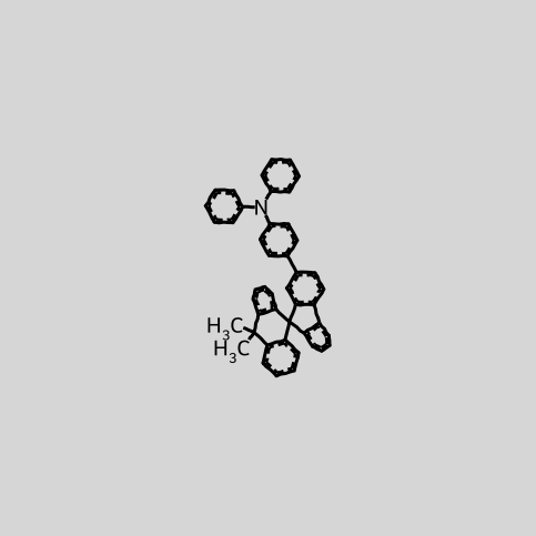 CC1(C)c2ccccc2C2(c3ccccc3-c3ccc(-c4ccc(N(c5ccccc5)c5ccccc5)cc4)cc32)c2ccccc21